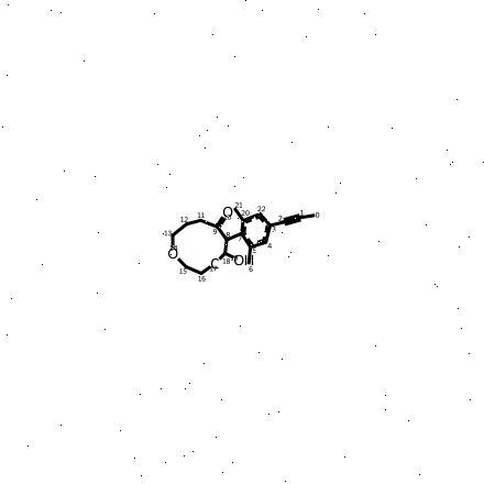 CC#Cc1cc(C)c(C2C(=O)CCCOCCCC2O)c(C)c1